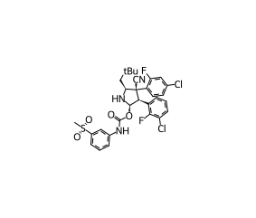 CC(C)(C)C[C@@H]1N[C@H](OC(=O)Nc2cccc(S(C)(=O)=O)c2)[C@H](c2cccc(Cl)c2F)[C@@]1(C#N)c1ccc(Cl)cc1F